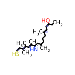 C=C/C(O)=C\C=C(/C)CCCC(=C)CC(=N)/C(C)=C/C(C)=C(C)/C=C\S